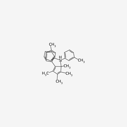 CC1=C(C)C(C)([SiH](c2cccc(C)c2)c2cccc(C)c2)C(c2ccccc2)=C1C